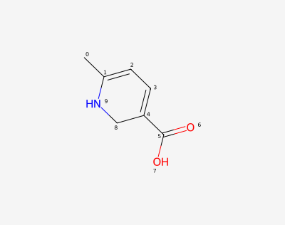 CC1=CC=C(C(=O)O)CN1